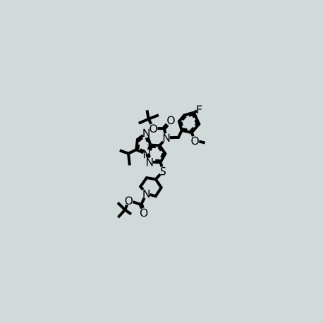 COc1cc(F)ccc1CN(C(=O)OC(C)(C)C)c1cc(SC2CCN(C(=O)OC(C)(C)C)CC2)nn2c(C(C)C)cnc12